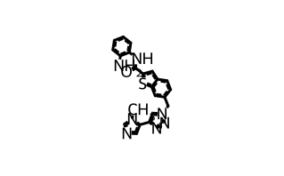 Cn1cncc1-c1cn(Cc2ccc3cc(C(=O)Nc4ccccc4N)sc3c2)nn1